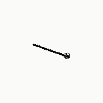 C=C(C)C(=O)OOCCCCCCCCCCCCCCCCCCCCCCCCCCCCCC